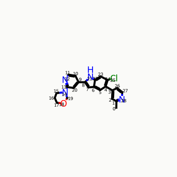 Cc1cc(-c2cc3cc(-c4ccnc(N5CCCOC5)c4)[nH]c3cc2Cl)ccn1